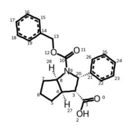 O=C(O)[C@@H]1[C@H]2CCC[C@H]2N(C(=O)OCc2ccccc2)[C@@H]1c1ccccc1